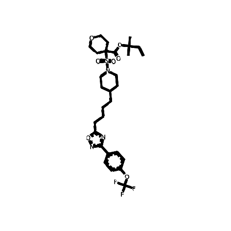 CCC(C)(C)OC(=O)C1(S(=O)(=O)N2CCC(CCCCc3nc(-c4ccc(OC(F)(F)F)cc4)no3)CC2)CCOCC1